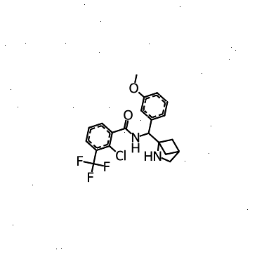 COc1cccc(C(NC(=O)c2cccc(C(F)(F)F)c2Cl)C23CC(CN2)C3)c1